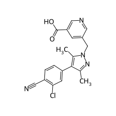 Cc1nn(Cc2cncc(C(=O)O)c2)c(C)c1-c1ccc(C#N)c(Cl)c1